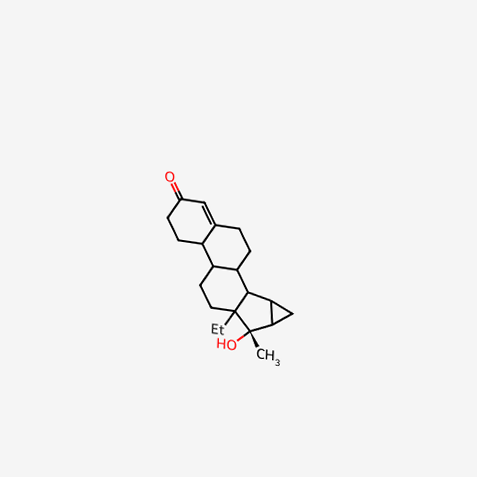 CCC12CCC3C4CCC(=O)C=C4CCC3C1C1CC1[C@]2(C)O